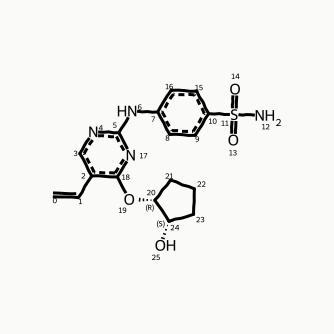 C=Cc1cnc(Nc2ccc(S(N)(=O)=O)cc2)nc1O[C@@H]1CCC[C@@H]1O